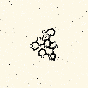 CC1COCCN1c1cc(N2CCCCS2(=O)=O)c2snc(-c3ccnn3C3CCCCO3)c2n1